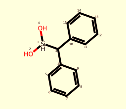 O[SiH](O)C(c1ccccc1)c1ccccc1